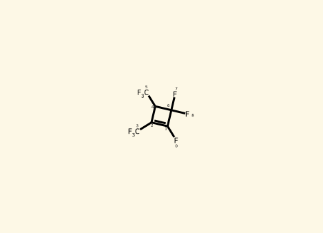 FC1=C(C(F)(F)F)C(C(F)(F)F)C1(F)F